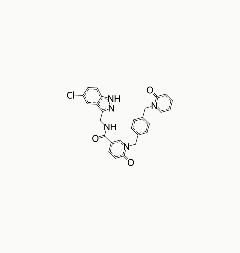 O=C(NCc1n[nH]c2ccc(Cl)cc12)c1ccc(=O)n(Cc2ccc(Cn3ccccc3=O)cc2)c1